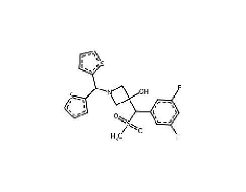 CS(=O)(=O)C(c1cc(F)cc(F)c1)C1(O)CN(C(c2cccs2)c2cccs2)C1